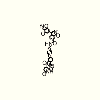 COc1cc(-c2cn(C)c(=O)c3c2CCN(C(=O)NCCN2CCN(c4ccc5c(c4)C(=O)N(C4CCC(=O)NC4=O)C5=O)CC2)C3)cc(OC)c1CN(C)C